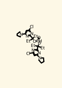 CCC(CC)(O[PH](=O)OC(CC)(CC)c1nc(Cl)cc(N2CCCC2)n1)c1nc(Cl)cc(N2CCCC2)n1